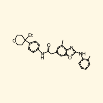 CCC1(c2ccc(NC(=O)Cc3cc(C)c4nc(Nc5ccccc5C)oc4c3)cc2)CCOCC1